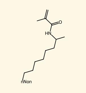 C=C(C)C(=O)NC(C)CCCCCCCCCCCCCCC